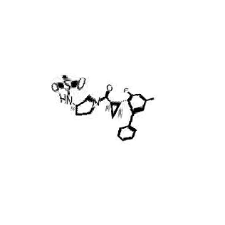 Cc1cc(F)c([C@@H]2C[C@H]2C(=O)N2CC[C@H](NS(C)(=O)=O)C2)c(-c2ccccc2)c1